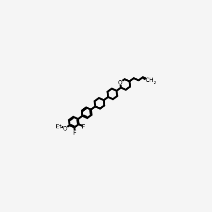 C=CCCC1CCC(C2CCC(C3CCC(c4ccc(-c5ccc(OCC)c(F)c5F)cc4)CC3)CC2)OC1